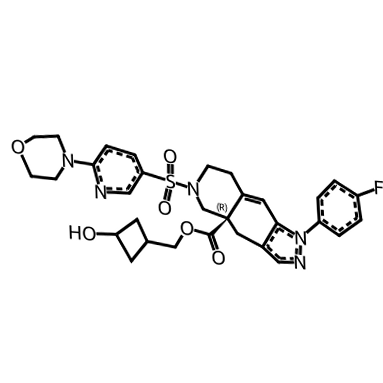 O=C(OCC1CC(O)C1)[C@]12Cc3cnn(-c4ccc(F)cc4)c3C=C1CCN(S(=O)(=O)c1ccc(N3CCOCC3)nc1)C2